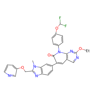 CCOc1ncc2cc(-c3ccc4nc(COc5cccnc5)n(C)c4c3)c(=O)n(-c3ccc(OC(F)F)cc3)c2n1